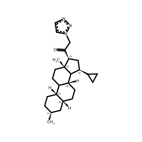 C[C@H]1CC[C@@H]2C3CC[C@@]4(C)C([C@@H]3CC[C@@H]2C1)[C@H](C1CC1)C[C@@H]4C(=O)Cn1ccnn1